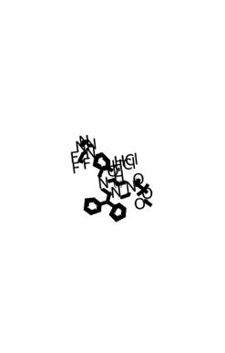 COc1ccc(-n2nnnc2C(F)(F)F)cc1CN1CC(C(c2ccccc2)c2ccccc2)N2CCN(C(=O)C(C)(C)OC(C)=O)C[C@H]2C1.Cl.Cl